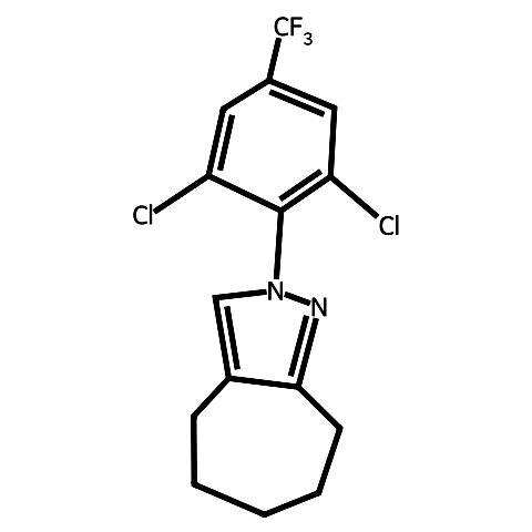 FC(F)(F)c1cc(Cl)c(-n2cc3c(n2)CCCCC3)c(Cl)c1